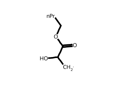 [CH2]C(O)C(=O)OCCCC